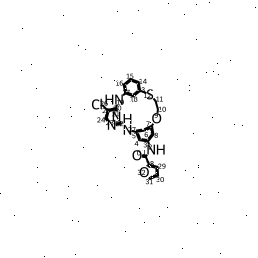 O=C(Nc1cc2cc(c1)OCCSc1cccc(c1)Nc1nc(ncc1Cl)N2)c1ccco1